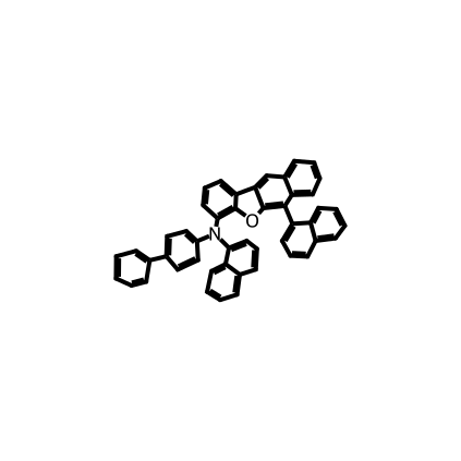 c1ccc(-c2ccc(N(c3cccc4ccccc34)c3cccc4c3oc3c(-c5cccc6ccccc56)c5ccccc5cc34)cc2)cc1